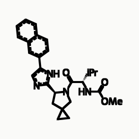 COC(=O)N[C@H](C(=O)N1CC2(CC2)C[C@H]1c1ncc(-c2ccc3ccccc3c2)[nH]1)C(C)C